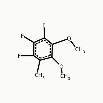 COc1c(C)c(F)c(F)c(F)c1OC